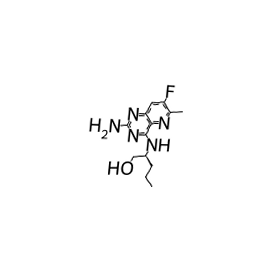 CCC[C@@H](CO)Nc1nc(N)nc2cc(F)c(C)nc12